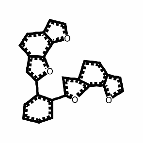 c1ccc(-c2cc3ccc4ccoc4c3o2)c(-c2cc3ccc4ccoc4c3o2)c1